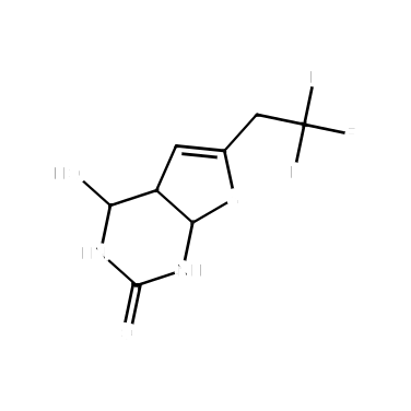 O=C1NC(O)C2C=C(CC(F)(F)F)SC2N1